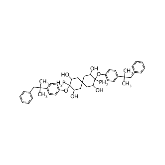 CC(C)(Cc1ccccc1)c1ccc(OC2(P)C(O)CC3(CC2O)CC(O)C(P)(Oc2ccc(C(C)(C)Cc4ccccc4)cc2)C(O)C3)cc1